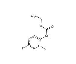 Cc1cc(I)ccc1NC(=O)OCC(Cl)(Cl)Cl